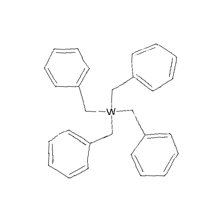 c1ccc([CH2][W]([CH2]c2ccccc2)([CH2]c2ccccc2)[CH2]c2ccccc2)cc1